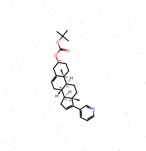 CC(C)(C)OC(=O)O[C@H]1CC[C@@]2(C)C(=CC[C@@H]3[C@@H]2CC[C@]2(C)C(c4cccnc4)=CC[C@@H]32)C1